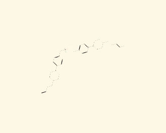 C=CCCC1CCC(c2ccc(CC(F)(F)OCc3ccc(C4CCC(CCC=CC)CC4)cc3)cc2)CC1